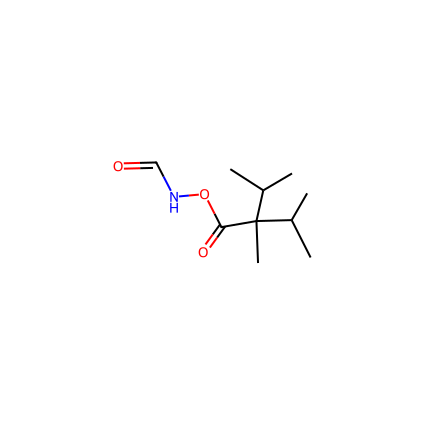 CC(C)C(C)(C(=O)ONC=O)C(C)C